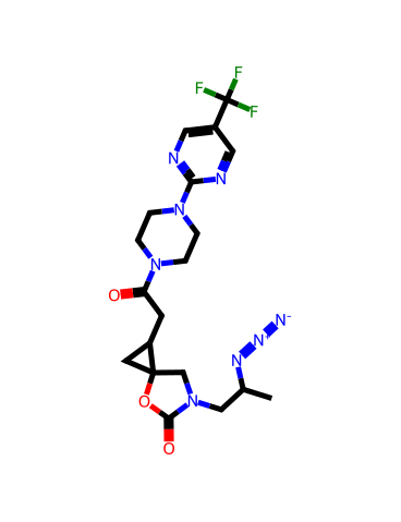 CC(CN1CC2(CC2CC(=O)N2CCN(c3ncc(C(F)(F)F)cn3)CC2)OC1=O)N=[N+]=[N-]